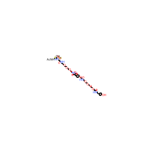 CC(=O)Nc1nc(N(CCC(=O)NCCCOCCOCCOCCCNC(=O)c2cc3ccc(OCC(=O)NCCOCCOCCOCCOCCC(=O)NCCc4ccc(O)cc4)cc3oc2=O)[SH](=O)=O)c(C)s1